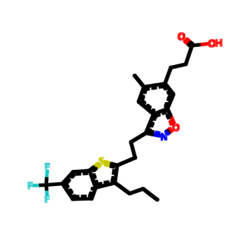 CCCc1c(CCc2noc3cc(CCC(=O)O)c(C)cc23)sc2cc(C(F)(F)F)ccc12